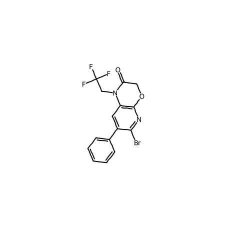 O=C1COc2nc(Br)c(-c3ccccc3)cc2N1CC(F)(F)F